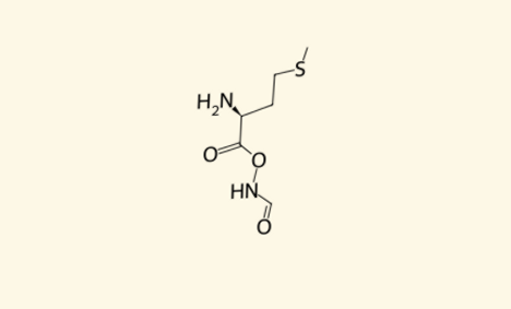 CSCC[C@H](N)C(=O)ONC=O